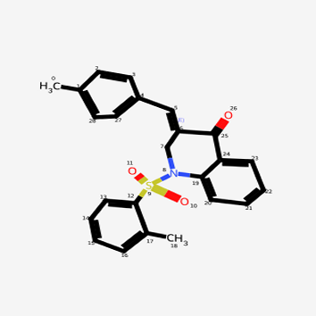 Cc1ccc(/C=C2\CN(S(=O)(=O)c3ccccc3C)c3ccccc3C2=O)cc1